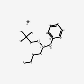 CCC[CH2][Al]([O]CC(C)(C)C)[O]c1ccccc1.[HH]